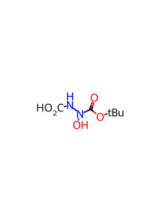 CC(C)(C)OC(=O)N(O)NC(=O)O